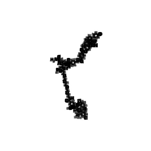 COc1cc(C(=O)NCCOCCOCCOCCOCCC(=O)N[C@@H](CCSC)C(=O)N[C@@H](CCCNC(N)=O)C(=O)Nc2ccc(COC(=O)N3CCN(C(=O)O[C@H]4CC[C@@]5(C)[C@H](CC[C@@H]6[C@@H]5[C@H](O)C(=O)[C@]5(C)[C@@H](C7=CCC(=O)C=C7)CC[C@]65O)C4)CC3)cc2)ccc1NC(=O)[C@@H]1N[C@@H](CC(C)(C)C)[C@](C#N)(c2ccc(Cl)cc2F)[C@H]1c1cccc(Cl)c1F